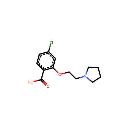 O=C(O)c1ccc(Cl)cc1OCCN1CCCC1